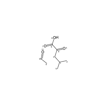 CC(C)CC(=O)C(=O)O.CC=O